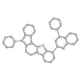 c1ccc(-c2cc(-c3cccc4c3sc3c4ccc4c3c3ccccc3n4-c3ccccc3)nc3ccccc23)cc1